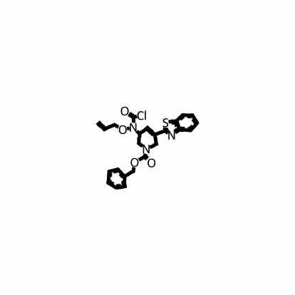 C=CCON(C(=O)Cl)C1C=C(c2nc3ccccc3s2)CN(C(=O)OCc2ccccc2)C1